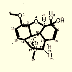 COC1=C2O[C@H]3C(O)(O)C=C[C@H]4[C@H]5CC(C=C1)C2[C@]43CCN5C